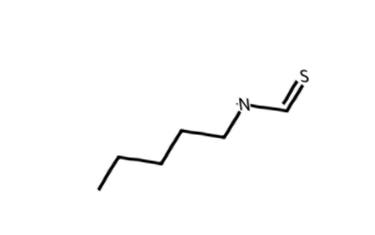 CCCCC[N]C=S